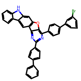 Brc1cccc(-c2ccc(-c3nc(-c4ccc(-c5ccccc5)cc4)nc4c3oc3cc5[nH]c6ccccc6c5cc34)cc2)c1